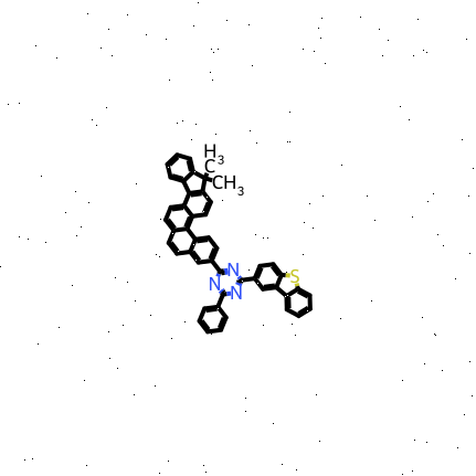 CC1(C)c2ccccc2-c2c1ccc1c2ccc2ccc3cc(-c4nc(-c5ccccc5)nc(-c5ccc6sc7ccccc7c6c5)n4)ccc3c21